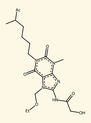 CCOCn1c(NC(=O)CO)nc2c1c(=O)n(CCCCC(C)C(C)=O)c(=O)n2C